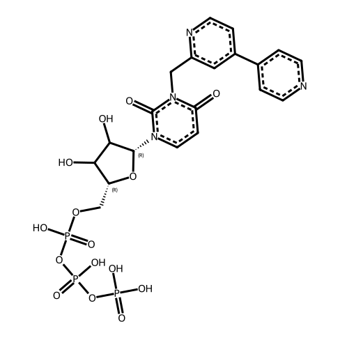 O=c1ccn([C@@H]2O[C@H](COP(=O)(O)OP(=O)(O)OP(=O)(O)O)C(O)C2O)c(=O)n1Cc1cc(-c2ccncc2)ccn1